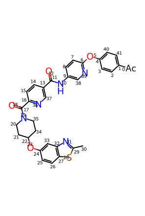 CC(=O)c1ccc(Oc2ccc(NC(=O)c3ccc(C(=O)N4CCC(Oc5ccc6sc(C)nc6c5)CC4)nc3)cn2)cc1